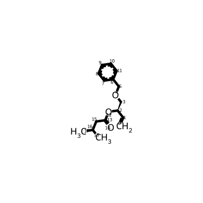 C=C[C@H](COCc1ccccc1)OC(=O)CC(C)C